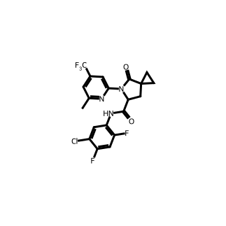 Cc1cc(C(F)(F)F)cc(N2C(=O)C3(CC3)CC2C(=O)Nc2cc(Cl)c(F)cc2F)n1